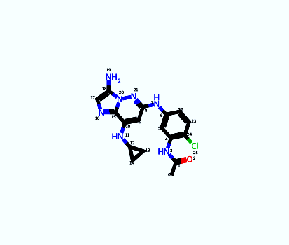 CC(=O)Nc1cc(Nc2cc(NC3CC3)c3ncc(N)n3n2)ccc1Cl